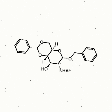 CC(=O)N[C@H]1[C@@H](OCc2ccccc2)O[C@@H]2CO[C@@H](c3ccccc3)O[C@H]2[C@@H]1O